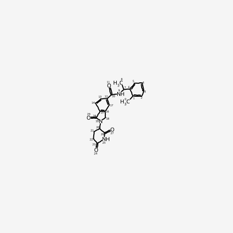 Cc1ccccc1C(C)NC(=O)c1ccc2c(c1)CN(C1CCC(=O)NC1=O)C2=O